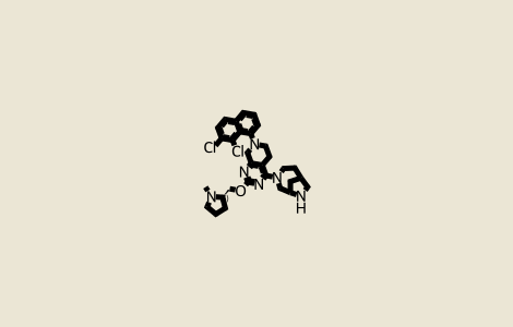 CN1CCC[C@H]1COc1nc2c(c(N3CCC4CNC(C4)C3)n1)CCN(c1cccc3ccc(Cl)c(Cl)c13)C2